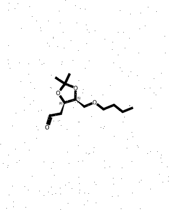 CCCCOC[C@@H]1OC(C)(C)O[C@@H]1CC=O